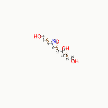 O=NC(CSCCO)CSCC(O)CSCCO